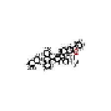 CC1(C)c2ccc(-c3c4ccccc4c(C4=CC=C5C=CC=CC5C4)c4ccccc34)cc2-c2ccc3cc4c(cc3c21)oc1ccccc14